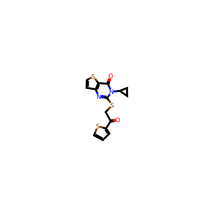 O=C(CSc1nc2ccsc2c(=O)n1C1CC1)c1cccs1